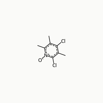 Cc1c(Cl)c(C)c(Cl)[n+]([O-])c1C